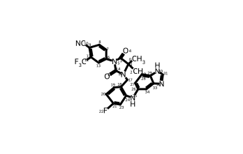 CC1(C)C(=O)N(c2ccc(C#N)c(C(F)(F)F)c2)C(=O)N1Cc1ccc(F)cc1Nc1ccc2[nH]cnc2c1